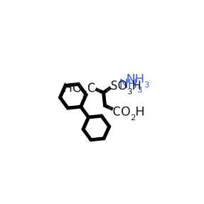 C1CCC(C2CCCCC2)CC1.N.N.O=C(O)CC(C(=O)O)S(=O)(=O)O